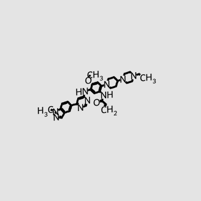 C=CC(=O)Nc1cc(Nc2cc(-c3ccc4c(cnn4C)c3)ncn2)c(OC)cc1N1CCC(N2CCN(CC)CC2)CC1